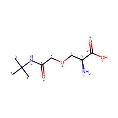 CC(C)(C)NC(=O)COC[C@H](N)C(=O)O